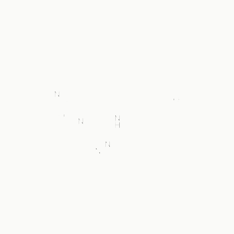 COc1ccc(CNc2cc(-c3cccnc3OC)nc3c(C)nn(C(C)C)c23)cc1